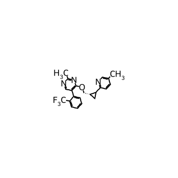 Cc1ccc(C2C[C@@H]2COc2nc(C)ncc2-c2ccccc2C(F)(F)F)nc1